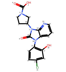 O=C(O)N1CC[C@H](n2c(=O)n(-c3ccc(Cl)cc3O)c3cccnc32)C1